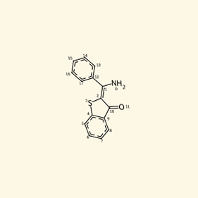 NC(=C1Sc2ccccc2C1=O)c1ccccc1